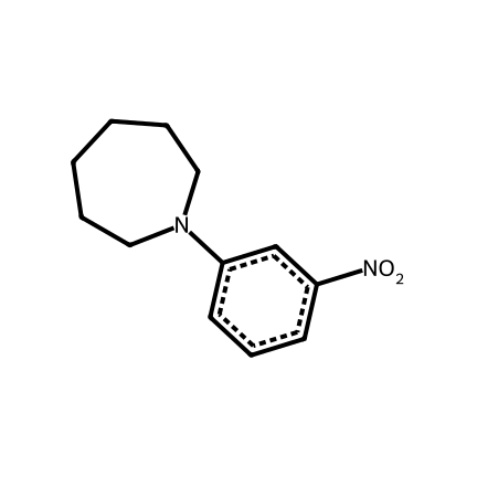 O=[N+]([O-])c1cccc(N2CCCCCC2)c1